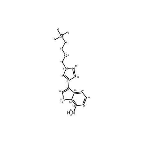 C[Si](C)(C)CCOCn1cc(-c2c[nH]c3c(N)cccc23)cn1